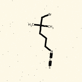 CC(C)(CBr)CCCN=C=S